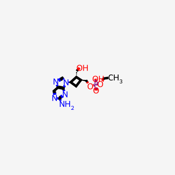 CCOP(=O)(O)OC[C@H]1C[C@@H](n2cnc3cnc(N)nc32)[C@@H]1CO